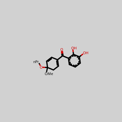 CCCOC1(OC)C=CC(C(=O)c2cccc(O)c2O)=CC1